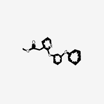 COC(=O)Cc1cccnc1Oc1cccc(Oc2ccccc2)c1